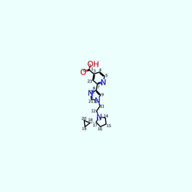 O=C(O)c1ccnc(-c2cn(CCN3CCC[C@@H]3C3CC3)cn2)c1